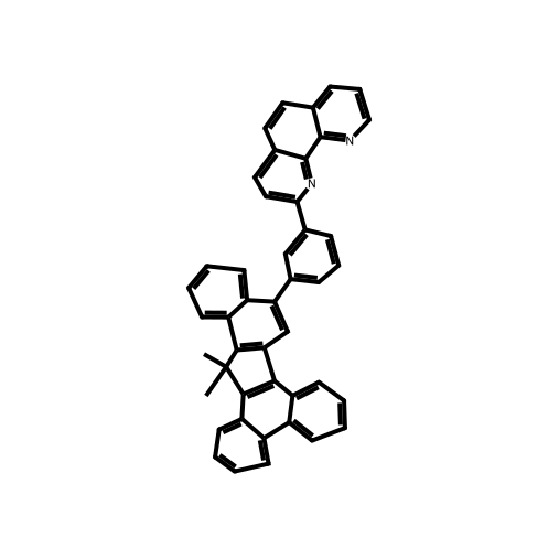 CC1(C)c2c(cc(-c3cccc(-c4ccc5ccc6cccnc6c5n4)c3)c3ccccc23)-c2c1c1ccccc1c1ccccc21